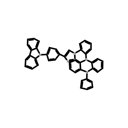 c1ccc(N2c3ccccc3N(c3ccccc3-n3cc(-c4ccc(-n5c6ccccc6c6ccccc65)cc4)nn3)c3ccccc32)cc1